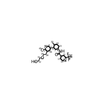 COc1ncc(-c2cc(NC(=O)c3ccnc(C(F)(F)F)c3)ccc2C)cc1CCOCCO